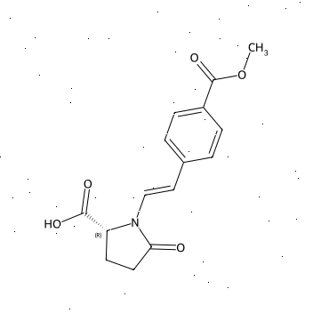 COC(=O)c1ccc(C=CN2C(=O)CC[C@@H]2C(=O)O)cc1